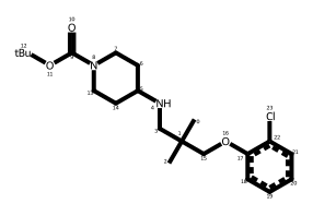 CC(C)(CNC1CCN(C(=O)OC(C)(C)C)CC1)COc1ccccc1Cl